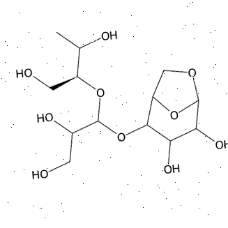 CC(O)[C@H](CO)OC(OC1C2COC(O2)C(O)C1O)C(O)CO